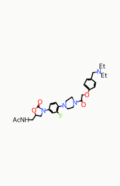 CCN(CC)Cc1ccc(OCC(=O)N2CCN(c3ccc(N4CC(CNC(C)=O)OC4=O)cc3F)CC2)cc1